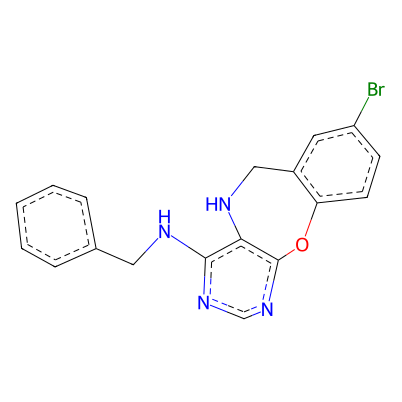 Brc1ccc2c(c1)CNc1c(NCc3ccccc3)ncnc1O2